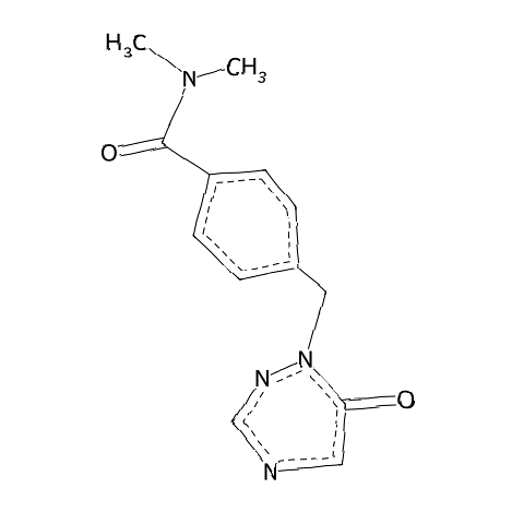 CN(C)C(=O)c1ccc(Cn2ncncc2=O)cc1